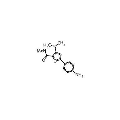 CNC(=O)c1oc(-c2ccc(N)cc2)cc1N(C)C